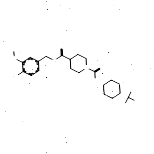 COc1cc(CNC(=O)C2CCN(C(=O)O[C@H]3CC[C@@H](C(C)(C)C)CC3)CC2)ccc1O